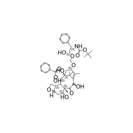 CC1=C2[C@@H](O)C(=O)[C@@]3(C)C([C@H](OC(=O)c4ccccc4)[C@](O)(C[C@@H]1OCO[C@H](O)[C@@H](NC(=O)OC(C)(C)C)c1ccccc1)C2(C)C)[C@]1(O)CO[C@@H]1C[C@@H]3O